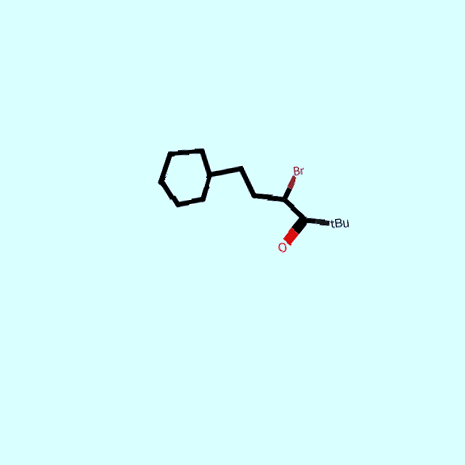 CC(C)(C)C(=O)C(Br)CCC1CCCCC1